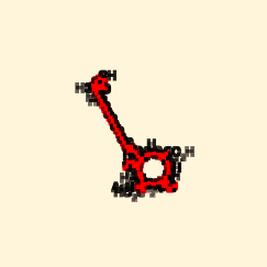 CC(=O)N[C@@H](CC(=O)O)C(=O)N[C@H]1CSSC[C@@H](C(N)=O)NC(=O)[C@H](Cc2c[nH]c3ccccc23)NC(=O)CNC(=O)CNC(=O)[C@H](CCC(=O)O)NC(=O)CNC(=O)CNC(=O)[C@H](CCNC(=O)c2ccc(OC(=O)CCOCCOCCOCCOCCOCCOCCNC(=S)Nc3ccc4c(c3)C(=O)OC43c4ccc(O)cc4Oc4cc(O)ccc43)cc2)NC(=O)[C@H](Cc2c[nH]c3ccccc23)NC(=O)[C@H](C)NC1=O